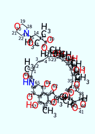 C/C1=C/C=C/[C@H](C(C)OC(=O)C(C)(C)CC(=O)N2CCOCC2)[C@H](O)[C@@H](C)[C@@H](O)[C@@H](C)[C@H](O)[C@H](C)[C@@H](O[C@H]2C[C@@H]3OCO[C@@H]3[C@@H](C)O2)/C=C/O[C@@]2(C)Oc3c(C)c(O)c4c(c3C2=O)C(=O)C=C(NC1=O)C4=O